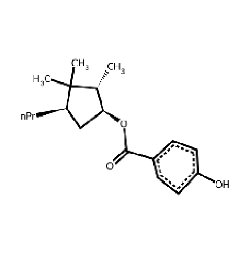 CCC[C@@H]1C[C@H](OC(=O)c2ccc(O)cc2)[C@@H](C)C1(C)C